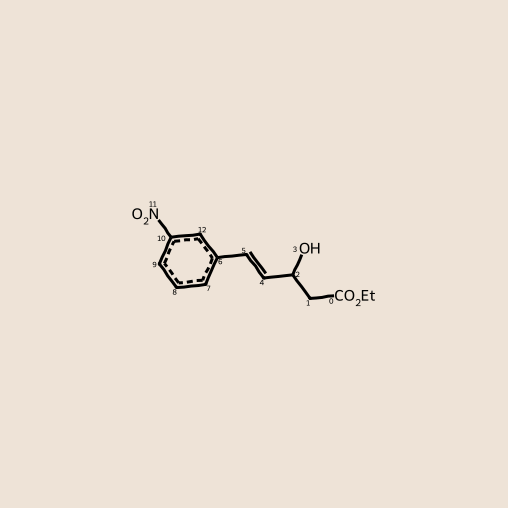 CCOC(=O)CC(O)C=Cc1cccc([N+](=O)[O-])c1